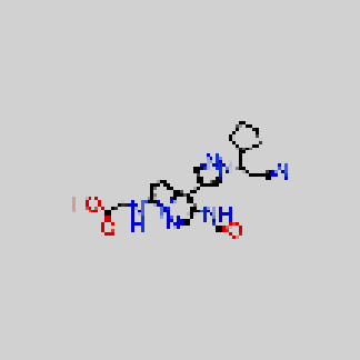 N#CCC(C1CCCC1)n1cc(-c2c(NC=O)cnn3c(NCC(=O)O)ccc23)cn1